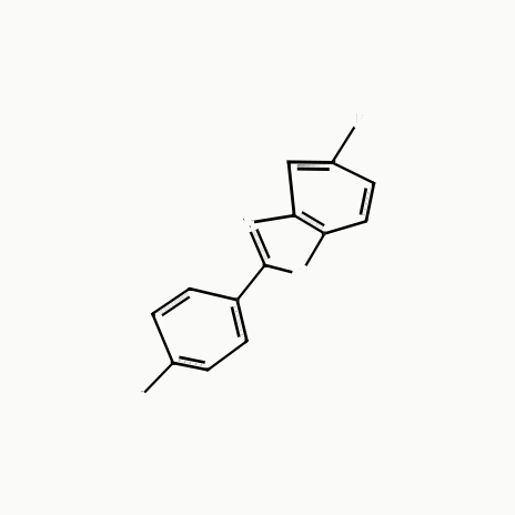 Brc1ccc2oc(-c3ccc(I)cc3)nc2c1